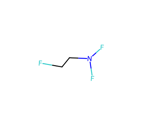 FCCN(F)F